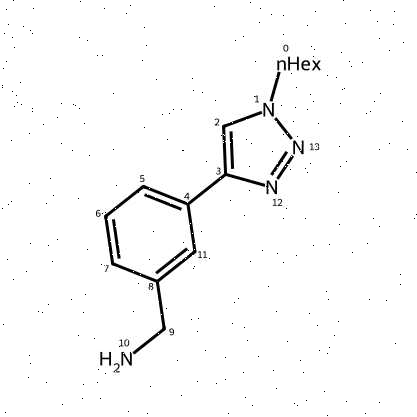 CCCCCCn1cc(-c2cccc(CN)c2)nn1